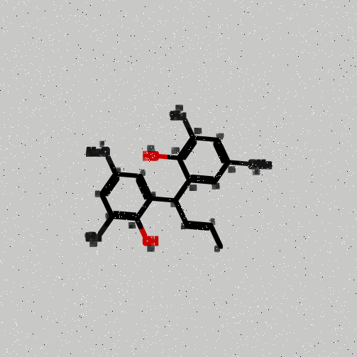 CC=CC(c1cc(OC)cc(C(C)(C)C)c1O)c1cc(OC)cc(C(C)(C)C)c1O